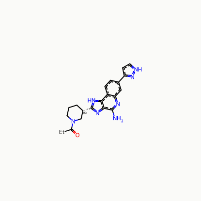 CCC(=O)N1CCC[C@H](c2nc3c(N)nc4cc(-c5cc[nH]n5)ccc4c3[nH]2)C1